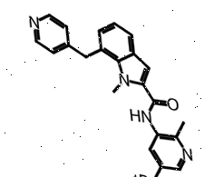 Cc1ncc(C(C)(C)C)cc1NC(=O)c1cc2cccc(Cc3ccncc3)c2n1C